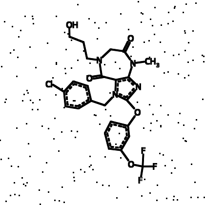 CN1C(=O)CN(CCCO)C(=O)c2c1nc(Oc1cccc(OC(F)(F)F)c1)n2Cc1ccc(Cl)cc1